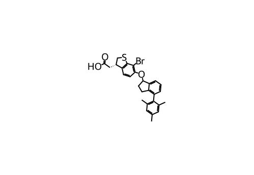 Cc1cc(C)c(-c2cccc3c2CCC3Oc2ccc3c(c2Br)SC[C@H]3CC(=O)O)c(C)c1